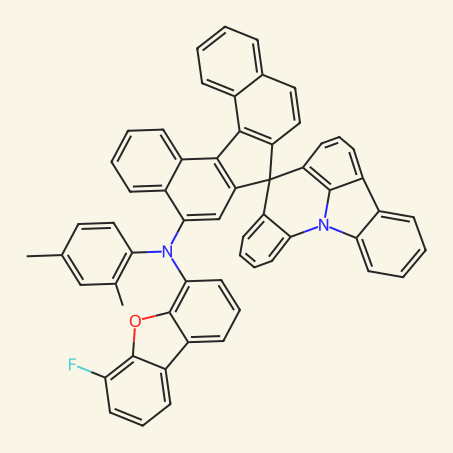 Cc1ccc(N(c2cc3c(c4ccccc24)-c2c(ccc4ccccc24)C32c3ccccc3-n3c4ccccc4c4cccc2c43)c2cccc3c2oc2c(F)cccc23)c(C)c1